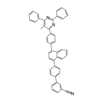 Cc1c(-c2ccccc2)nc(-c2ccccc2)nc1-c1ccc(-c2ccc(-c3ccc(-c4cccc(C#N)c4)cc3)c3ccccc23)cc1